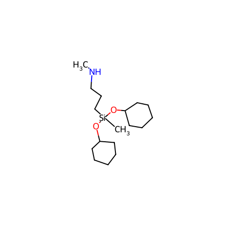 CNCCC[Si](C)(OC1CCCCC1)OC1CCCCC1